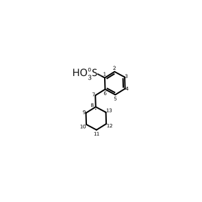 O=S(=O)(O)c1ccccc1C[C]1CCCCC1